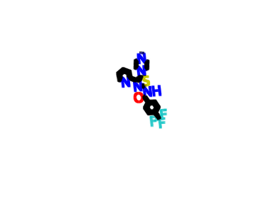 CN1CCN(c2sc(NC(=O)c3ccc(C(F)(F)F)cc3)nc2-c2ccccn2)CC1